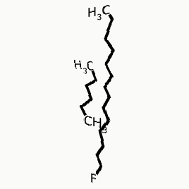 CCCCCC.CCCCCCCCCCCCCCF